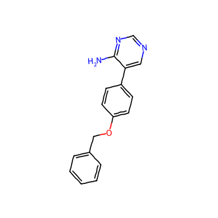 Nc1ncncc1-c1ccc(OCc2ccccc2)cc1